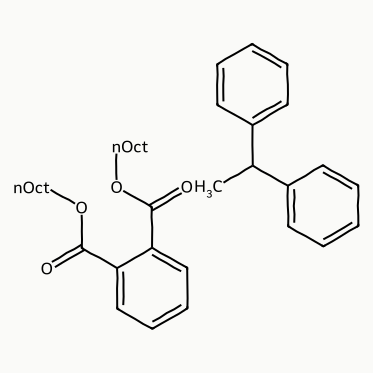 CC(c1ccccc1)c1ccccc1.CCCCCCCCOC(=O)c1ccccc1C(=O)OCCCCCCCC